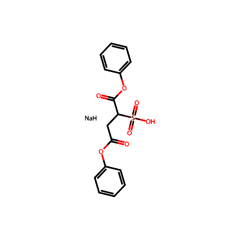 O=C(CC(C(=O)Oc1ccccc1)S(=O)(=O)O)Oc1ccccc1.[NaH]